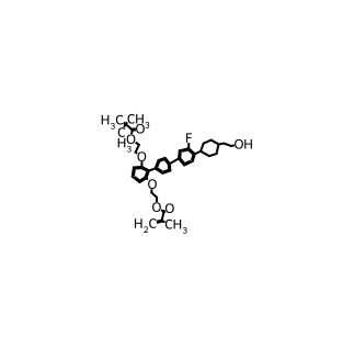 C=C(C)C(=O)OCCOc1cccc(OCCOC(=O)C(C)(C)C)c1-c1ccc(-c2ccc(C3CCC(CCO)CC3)c(F)c2)cc1